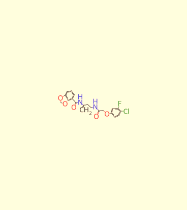 C=C(CCNC(=O)COc1ccc(Cl)c(F)c1)NC(=O)c1cccc2c1OCO2